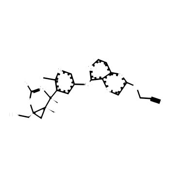 C#CCOc1cnc2c(Nc3cnc(F)c([C@@]4(C)N=C(N)S[C@@]5(CO)C[C@H]54)c3)nccc2n1